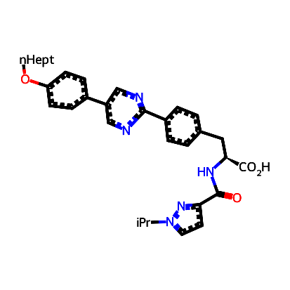 CCCCCCCOc1ccc(-c2cnc(-c3ccc(C[C@H](NC(=O)c4ccn(C(C)C)n4)C(=O)O)cc3)nc2)cc1